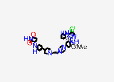 COc1cc(N2CCN(CCCN3CCC(c4ccc(NC5CCC(=O)NC5=O)cc4)CC3)CC2)ccc1Nc1ncc(Cl)c(Nc2ccccc2C(C)=O)n1